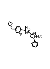 CCN1N=C(c2nc(-c3ccc(CN4CCC4)cc3F)no2)CC1c1ccccc1